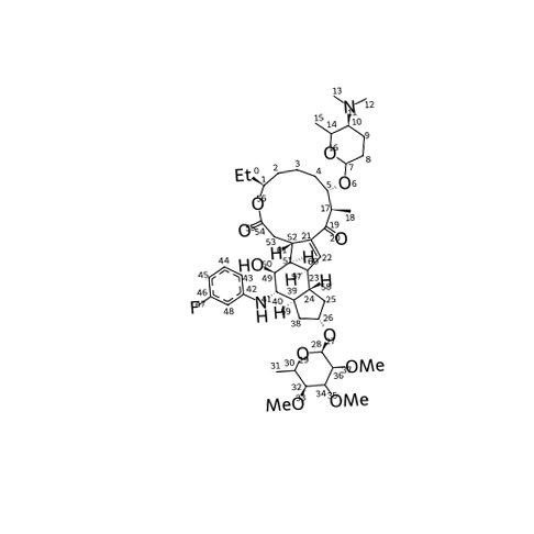 CC[C@H]1CCC[C@H](OC2CC[C@H](N(C)C)C(C)O2)[C@@H](C)C(=O)C2=C[C@H]3[C@@H]4C[C@H](O[C@@H]5OC(C)[C@H](OC)C(OC)C5OC)C[C@H]4[C@H](Nc4cccc(F)c4)[C@@H](O)[C@H]3[C@@H]2CC(=O)O1